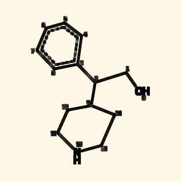 OCC(c1ccccc1)C1CCNCC1